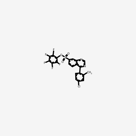 Cc1cc(Cl)ccc1-c1ncnc2cc(S(=O)(=O)Oc3c(F)c(F)c(F)c(F)c3F)ccc12